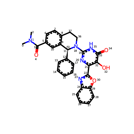 CN(C)C(=O)c1ccc2c(c1)[C@H](c1ccccc1)N(c1nc(-c3nc4ccccc4o3)c(O)c(=O)[nH]1)CC2